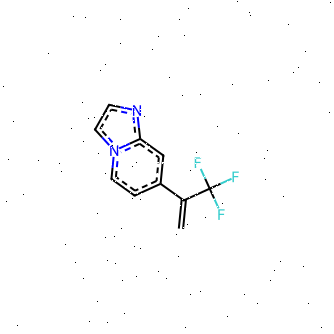 C=C(c1ccn2ccnc2c1)C(F)(F)F